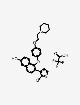 O=C(O)C(F)(F)F.Oc1ccc2c(Oc3ccc(OCCN4CCCCC4)cc3)c(-c3ccsc3Cl)ccc2c1